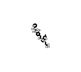 COc1cc(CC(=O)N2CCN(CCC(=O)O)C(=O)C2CC(C)C)ccc1NC(=O)Nc1ccccn1